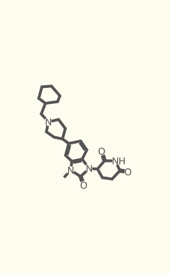 Cn1c(=O)n(C2CCC(=O)NC2=O)c2ccc(C3CCN(CC4CCCCC4)CC3)cc21